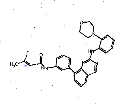 C/C(F)=C/C(=O)Nc1cccc(-c2cccc3cnc(Nc4ccccc4N4CCOCC4)nc23)c1